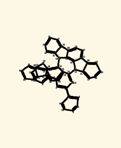 c1ccc(-c2cc(-c3ccccc3)nc(-n3c4ccccc4c4ccc5c6ccccc6n(-c6cccc7c6sc6ccccc67)c5c43)n2)cc1